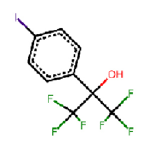 OC(c1ccc(I)cc1)(C(F)(F)F)C(F)(F)F